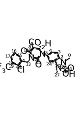 CN1c2ccc(-n3cc(C(=O)O)c(=O)n(Cc4cccc(C(F)(F)F)c4Cl)c3=O)cc2N(C)S1(O)O